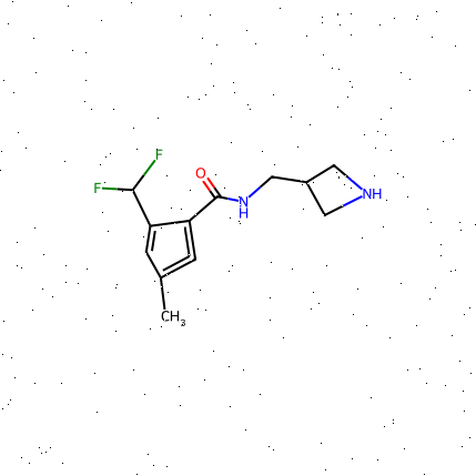 CC1=C=C(C(=O)NCC2CNC2)C(C(F)F)=C1